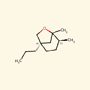 CCC[C@@]12CC[C@H](C)C(C)(C1)OC2